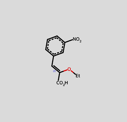 CCO/C(=C\c1cccc([N+](=O)[O-])c1)C(=O)O